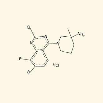 CC1(N)CCCN(c2nc(Cl)nc3c(F)c(Br)ccc23)C1.Cl